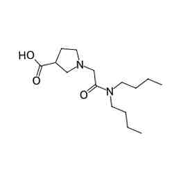 CCCCN(CCCC)C(=O)CN1CCC(C(=O)O)C1